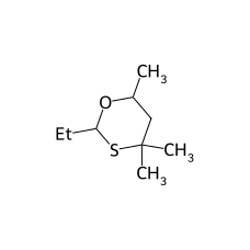 CCC1OC(C)CC(C)(C)S1